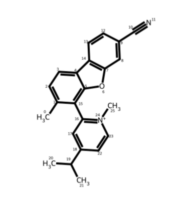 Cc1ccc2c(oc3cc(C#N)ccc32)c1-c1cc(C(C)C)cc[n+]1C